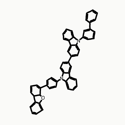 C1=CC2c3ccccc3OC2C(c2ccc(-n3c4ccccc4c4cc(-c5ccc6c(c5)c5ccccc5n6-c5cccc(-c6ccccc6)c5)ccc43)cc2)=C1